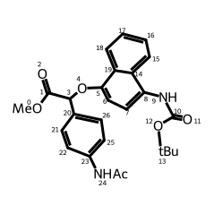 COC(=O)C(Oc1ccc(NC(=O)OC(C)(C)C)c2ccccc12)c1ccc(NC(C)=O)cc1